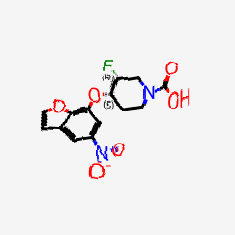 O=C(O)N1CC[C@H](Oc2cc([N+](=O)[O-])cc3ccoc23)[C@H](F)C1